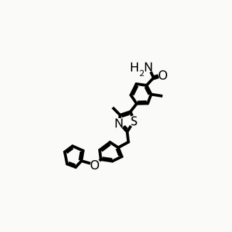 Cc1cc(-c2sc(Cc3ccc(Oc4ccccc4)cc3)nc2C)ccc1C(N)=O